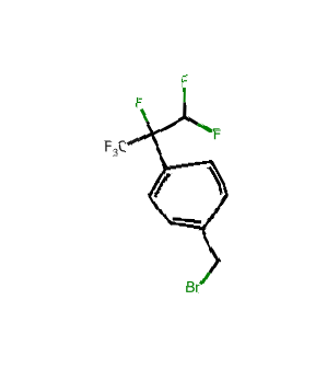 FC(F)C(F)(c1ccc(CBr)cc1)C(F)(F)F